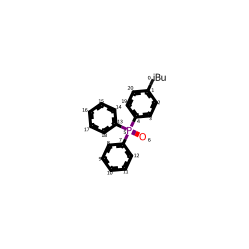 CCC(C)c1ccc(P(=O)(c2ccccc2)c2ccccc2)cc1